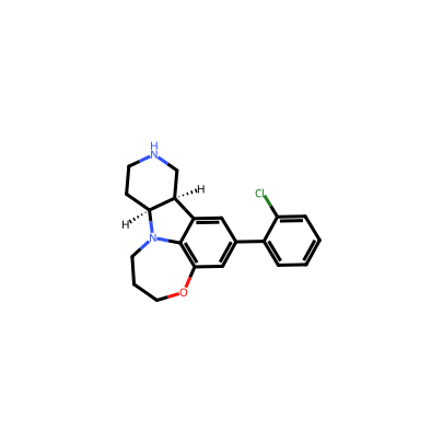 Clc1ccccc1-c1cc2c3c(c1)[C@@H]1CNCC[C@@H]1N3CCCO2